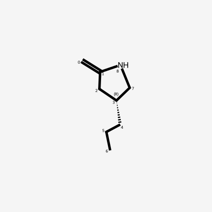 C=C1C[C@@H](CCC)CN1